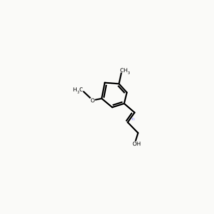 COc1cc(C)cc(/C=C/CO)c1